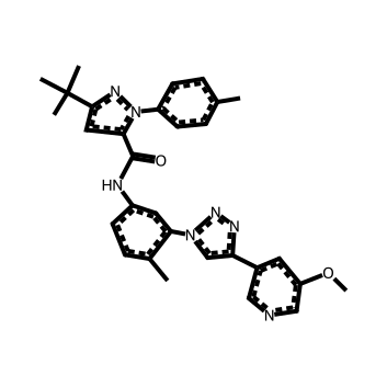 COc1cncc(-c2cn(-c3cc(NC(=O)c4cc(C(C)(C)C)nn4-c4ccc(C)cc4)ccc3C)nn2)c1